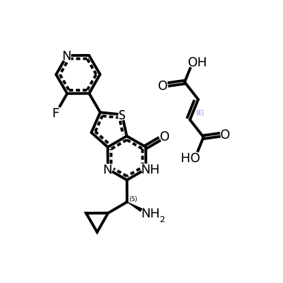 N[C@H](c1nc2cc(-c3ccncc3F)sc2c(=O)[nH]1)C1CC1.O=C(O)/C=C/C(=O)O